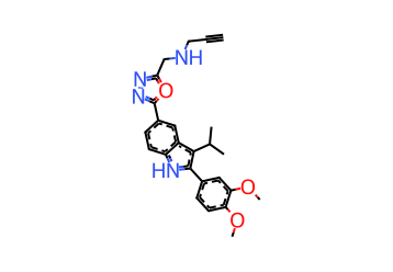 C#CCNCc1nnc(-c2ccc3[nH]c(-c4ccc(OC)c(OC)c4)c(C(C)C)c3c2)o1